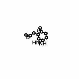 N=C1C(=N)c2ccc(-c3cccc(-c4cccc(-c5ccc6oc7ccccc7c6c5)c4)c3)cc2-c2cc(-c3cccc(-c4cccc(-c5ccc6oc7ccccc7c6c5)c4)c3)ccc21